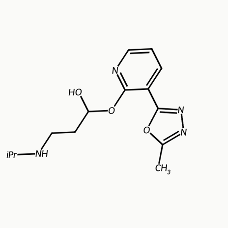 Cc1nnc(-c2cccnc2OC(O)CCNC(C)C)o1